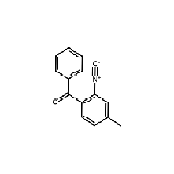 [C-]#[N+]c1cc(C)ccc1C(=O)c1ccccc1